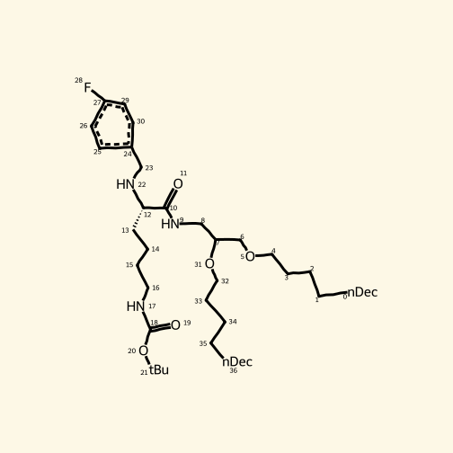 CCCCCCCCCCCCCCOCC(CNC(=O)[C@H](CCCCNC(=O)OC(C)(C)C)NCc1ccc(F)cc1)OCCCCCCCCCCCCCC